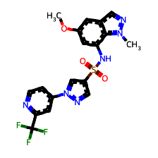 COc1cc(NS(=O)(=O)c2cnn(-c3ccnc(C(F)(F)F)c3)c2)c2c(cnn2C)c1